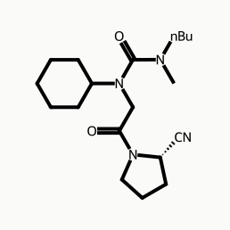 CCCCN(C)C(=O)N(CC(=O)N1CCC[C@H]1C#N)C1CCCCC1